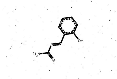 NC(=O)N=Cc1ccccc1O